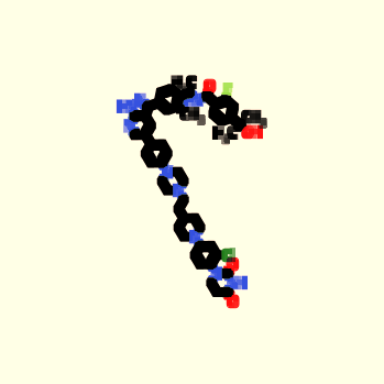 Cc1cc(-c2n[nH]c3ncc(-c4ccc(N5CCN(CCC6CCN(c7ccc(N8CCC(=O)NC8=O)c(Cl)c7)CC6)CC5)cc4)cc23)ccc1[C@@H](C)NC(=O)c1ccc(C(C)(C)O)cc1F